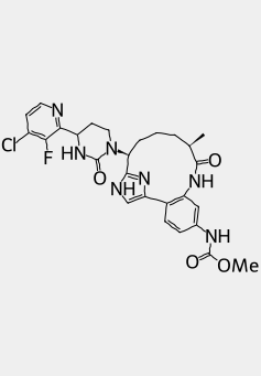 COC(=O)Nc1ccc2c(c1)NC(=O)[C@H](C)CCC[C@H](N1CCC(c3nccc(Cl)c3F)NC1=O)c1nc-2c[nH]1